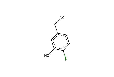 [C-]#[N+]Cc1ccc(F)c(C#N)c1